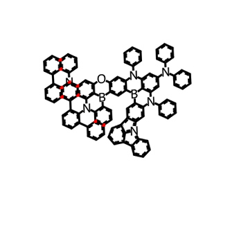 c1ccc(-c2ccccc2N(c2ccccc2)c2cc3c4c(c2)N(c2c(-c5ccccc5)cccc2-c2ccccc2)c2ccccc2B4c2cc4c(cc2O3)N(c2ccccc2)c2cc(N(c3ccccc3)c3ccccc3)cc3c2B4c2cc4c5cccc6c7ccccc7n(c4cc2N3c2ccccc2)c65)cc1